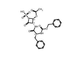 CC(=O)O[C@H]1[C@H](NC(=O)[C@H](Cc2ccccc2)NC(=O)OCc2ccccc2)C(=O)N1S(=O)(=O)O